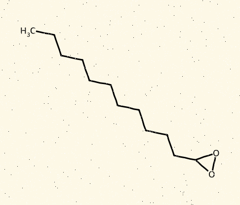 CCCCCCCCCCCC1OO1